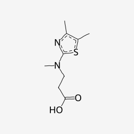 Cc1nc(N(C)CCC(=O)O)sc1C